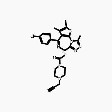 C#CCN1CCN(C(=O)C[C@@H]2N=C(c3ccc(Cl)cc3)c3c(sc(C)c3C)-n3c(C)nnc32)CC1